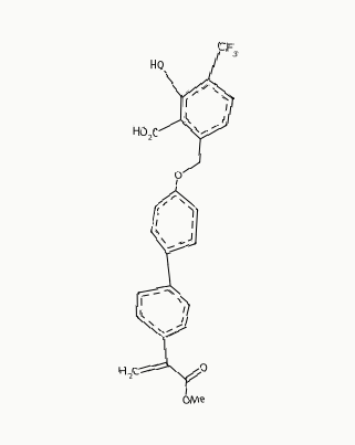 C=C(C(=O)OC)c1ccc(-c2ccc(OCc3ccc(C(F)(F)F)c(O)c3C(=O)O)cc2)cc1